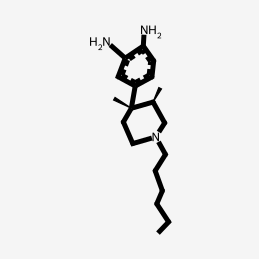 CCCCCCN1CC[C@](C)(c2ccc(N)c(N)c2)[C@@H](C)C1